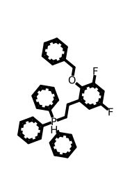 Fc1cc(F)c(OCc2ccccc2)c(CC[PH](c2ccccc2)(c2ccccc2)c2ccccc2)c1